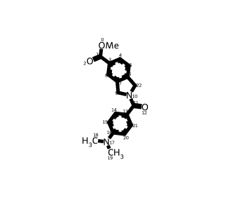 COC(=O)c1ccc2c(c1)CN(C(=O)c1ccc(N(C)C)cc1)C2